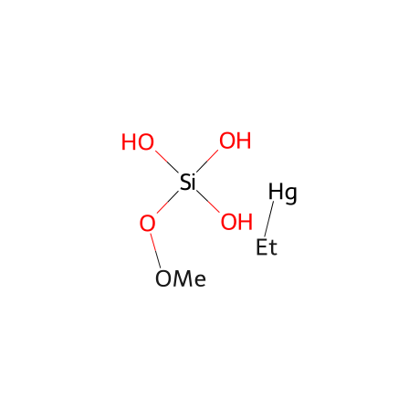 COO[Si](O)(O)O.C[CH2][Hg]